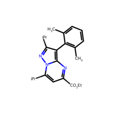 CCOC(=O)c1cc(C(C)C)n2nc(C(C)C)c(-c3c(C)cccc3C)c2n1